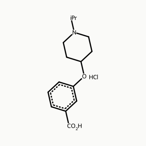 CC(C)N1CCC(Oc2cccc(C(=O)O)c2)CC1.Cl